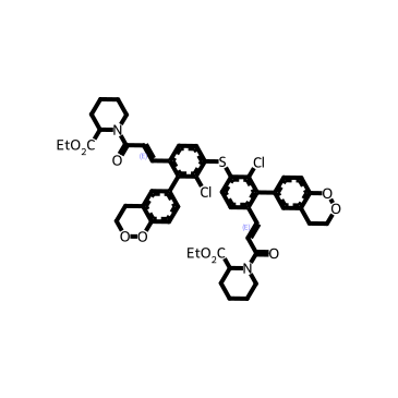 CCOC(=O)C1CCCCN1C(=O)/C=C/c1ccc(Sc2ccc(/C=C/C(=O)N3CCCCC3C(=O)OCC)c(-c3ccc4c(c3)CCOO4)c2Cl)c(Cl)c1-c1ccc2c(c1)CCOO2